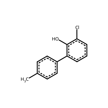 Cc1ccc(-c2cccc(Cl)c2O)cc1